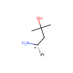 CC(C)[C@H](N)CC(C)(C)O